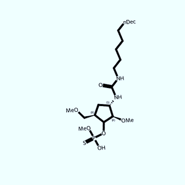 CCCCCCCCCCCCCCCNC(=O)N[C@H]1C[C@H](COC)C(OP(O)(=S)OC)[C@@H]1OC